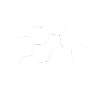 C=c1c2ccc(C)c3c(OC)ccc(c32)n1C(C)CC